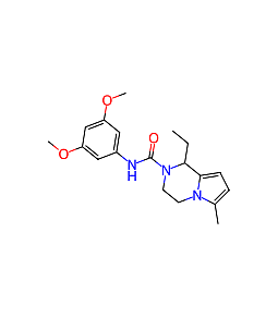 CCC1c2ccc(C)n2CCN1C(=O)Nc1cc(OC)cc(OC)c1